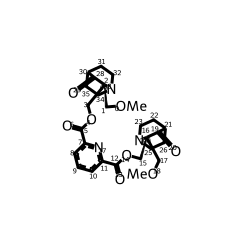 COC[C@@]1(COC(=O)c2cccc(C(=O)OC[C@]3(COC)C(=O)C4CCN3CC4)n2)C(=O)C2CCN1CC2